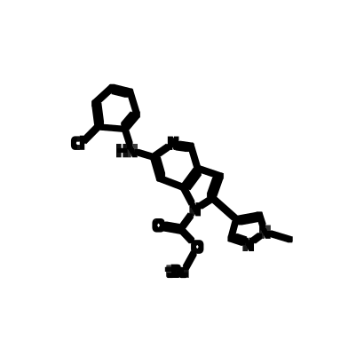 Cn1cc(-c2cc3cnc(Nc4ccccc4Cl)cc3n2C(=O)OC(C)(C)C)cn1